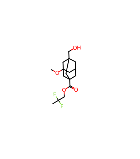 COC12CC3CC(CO)(C1)CC(C(=O)OCC(C)(F)F)(C3)C2